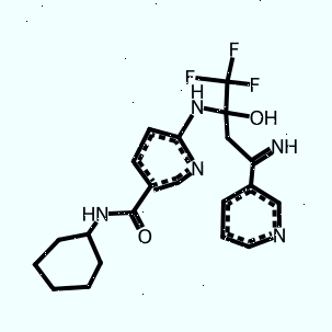 N=C(CC(O)(Nc1ccc(C(=O)NC2CCCCC2)cn1)C(F)(F)F)c1cccnc1